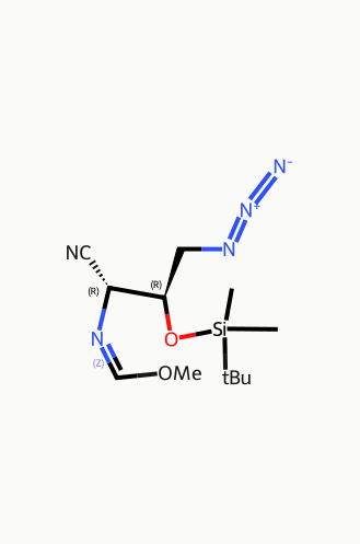 CO/C=N\[C@H](C#N)[C@@H](CN=[N+]=[N-])O[Si](C)(C)C(C)(C)C